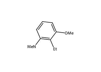 CCc1c(NC)cccc1OC